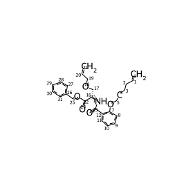 C=CCCCCOc1ccccc1C(=O)N[C@@H](COCC=C)C(=O)OCc1ccccc1